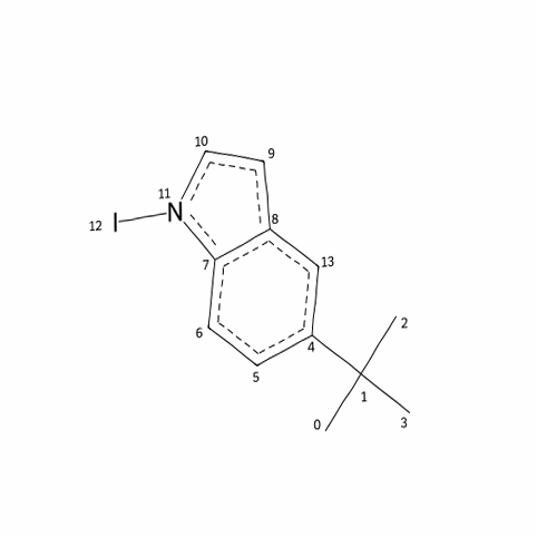 CC(C)(C)c1ccc2c(ccn2I)c1